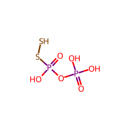 O=P(O)(O)OP(=O)(O)SS